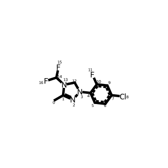 CC1=NN(c2ccc(Cl)cc2F)CN1C(F)F